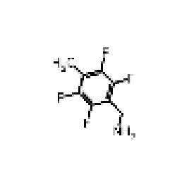 Cc1c(F)c(F)c(CN)c(F)c1F